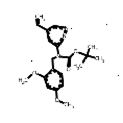 C=Cc1cnnc(N(Cc2ccc(OC)cc2OC)C(=O)OC(C)(C)C)c1